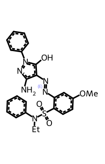 CCN(c1ccccc1)S(=O)(=O)c1ccc(OC)cc1/N=N/c1c(N)nn(-c2ccccc2)c1O